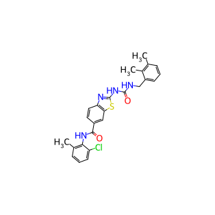 Cc1cccc(CNC(=O)Nc2nc3ccc(C(=O)Nc4c(C)cccc4Cl)cc3s2)c1C